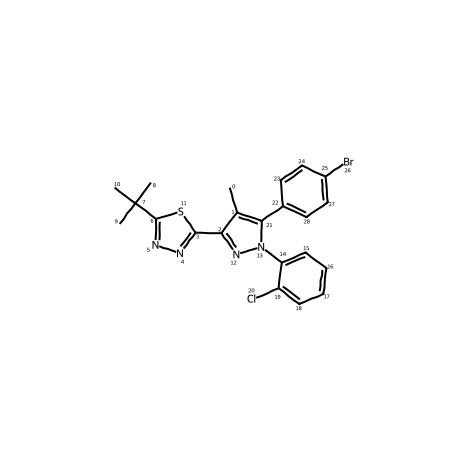 Cc1c(-c2nnc(C(C)(C)C)s2)nn(-c2ccccc2Cl)c1-c1ccc(Br)cc1